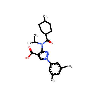 Cc1cc(C)cc(-n2cc(C(=O)O)c(N(C(=O)C3CCC(C)CC3)C(C)C)n2)c1